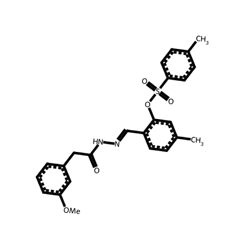 COc1cccc(CC(=O)N/N=C/c2ccc(C)cc2OS(=O)(=O)c2ccc(C)cc2)c1